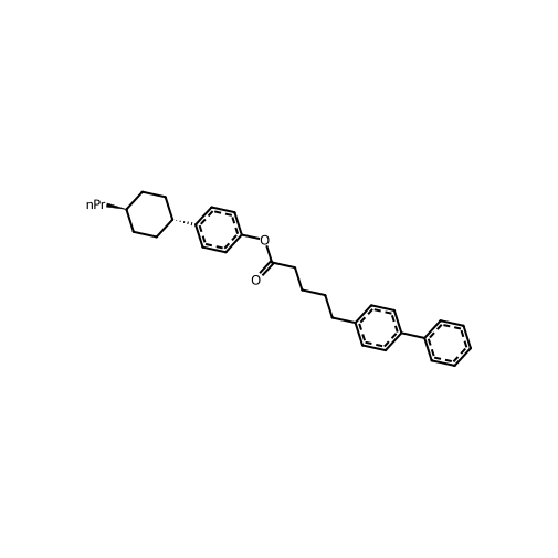 CCC[C@H]1CC[C@H](c2ccc(OC(=O)CCCCc3ccc(-c4ccccc4)cc3)cc2)CC1